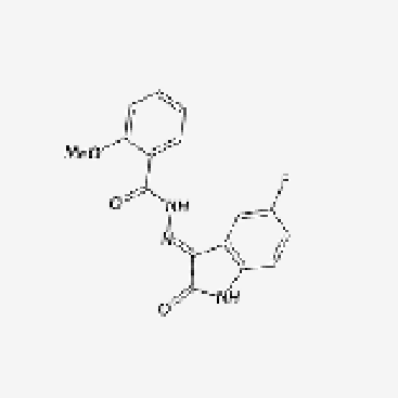 COc1ccccc1C(=O)N/N=C1/C(=O)Nc2ccc(F)cc21